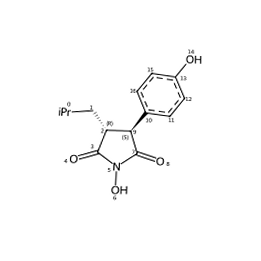 CC(C)C[C@H]1C(=O)N(O)C(=O)[C@@H]1c1ccc(O)cc1